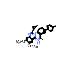 COc1cc2nc(C3CC3)nc(N[C@H](C)c3cccc(-c4ccc(C)cc4)c3)c2cc1OC